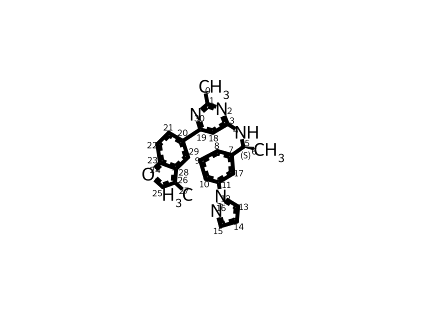 Cc1nc(N[C@@H](C)c2cccc(-n3cccn3)c2)cc(-c2ccc3occ(C)c3c2)n1